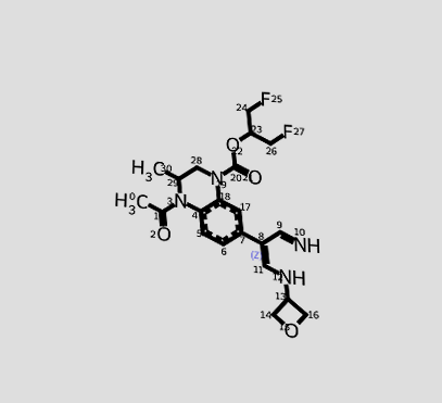 CC(=O)N1c2ccc(/C(C=N)=C/NC3COC3)cc2N(C(=O)OC(CF)CF)CC1C